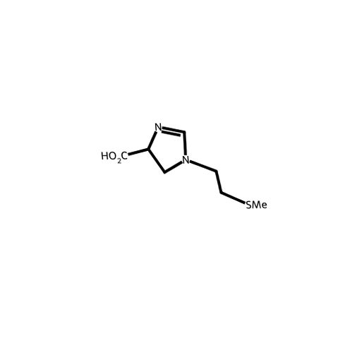 CSCCN1C=NC(C(=O)O)C1